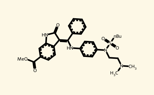 CCCCS(=O)(=O)N(CCN(C)C)c1ccc(NC(=C2C(=O)Nc3cc(C(=O)OC)ccc32)c2ccccc2)cc1